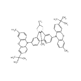 Cc1ccc2c(c1)Oc1cc(C(C)(C)C)ccc1N2c1ccc2c(c1)[C@]13CC(C)C[C@]1(CC(C)C3)c1cc(N3c4ccc(C)cc4Oc4cc(C(C)(C)C)ccc43)ccc1-2